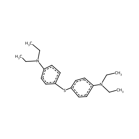 CCN(CC)c1ccc(Sc2ccc(N(CC)CC)cc2)cc1